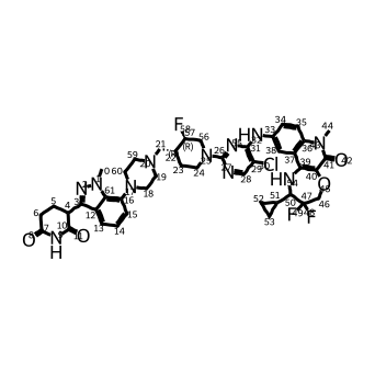 Cn1nc(C2CCC(=O)NC2=O)c2cccc(N3CCN(C[C@H]4CCN(c5ncc(Cl)c(Nc6ccc7c(c6)c6c(c(=O)n7C)OCC(F)(F)C(C7CC7)N6)n5)C[C@@H]4F)CC3)c21